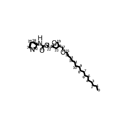 CCCCCCCCCCCCCCCCOC[C@@H]1CO[C@@H](COC(=O)Nc2cccnc2)C1